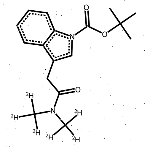 [2H]C([2H])([2H])N(C(=O)Cc1cn(C(=O)OC(C)(C)C)c2ccccc12)C([2H])([2H])[2H]